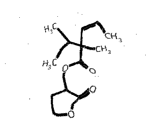 C/C=C\C(C)(C(=O)OC1CCOC1=O)C(C)C